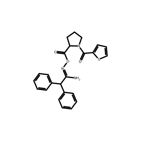 N/C(=N\OC(=O)C1CCCN1C(=O)c1cccs1)C(c1ccccc1)c1ccccc1